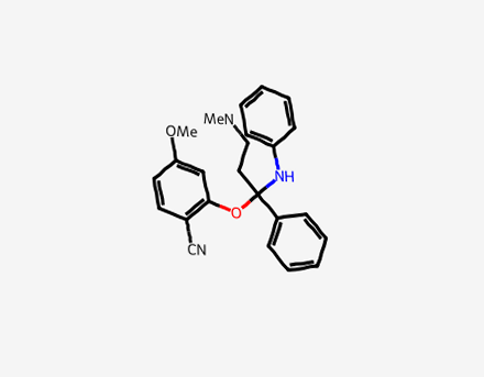 CNCCC(Nc1ccccc1)(Oc1cc(OC)ccc1C#N)c1ccccc1